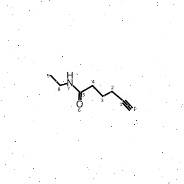 C#CCCCC(=O)NCC